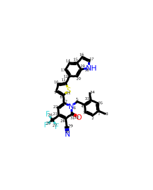 Cc1ccc(Cn2c(-c3ccc(-c4ccc5cc[nH]c5c4)s3)cc(C(F)(F)F)c(C#N)c2=O)c(C)c1